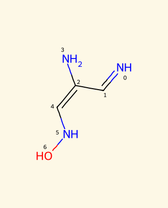 N=C/C(N)=C\NO